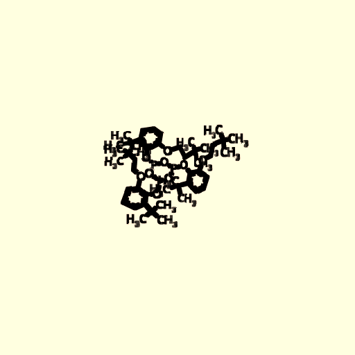 CC(C)(C)CCOc1cccc(C(C)(C)C)c1OP1OP(Oc2c(OCCC(C)(C)C)cccc2C(C)(C)C)OP(Oc2c(OCCC(C)(C)C)cccc2C(C)(C)C)O1